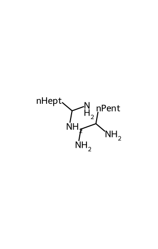 CCCCCC(N)CN.CCCCCCCC(N)N